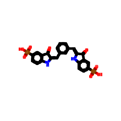 O=C1/C(=C/c2cccc(/C=C3/Nc4ccc(S(=O)(=O)O)cc4C3=O)c2)Nc2ccc(S(=O)(=O)O)cc21